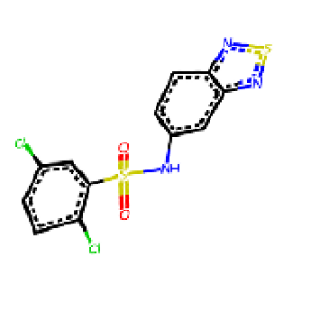 O=S(=O)(Nc1ccc2nsnc2c1)c1cc(Cl)ccc1Cl